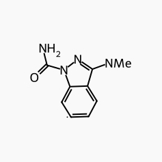 CNc1nn(C(N)=O)c2c[c]ccc12